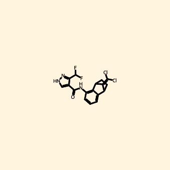 O=C(Nc1cccc2c1C1CCC2C1=C(Cl)Cl)c1c[nH]nc1C(F)F